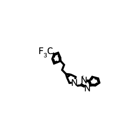 Cn1c(CN2CC3C(CCc4ccc(C(F)(F)F)cc4)C3C2)nc2ccccc21